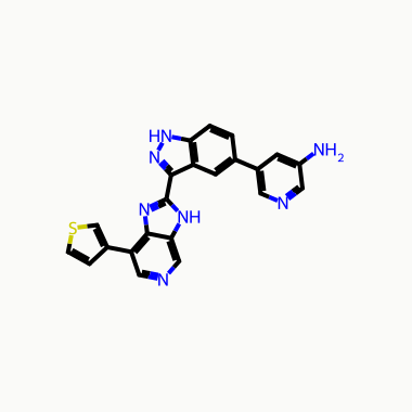 Nc1cncc(-c2ccc3[nH]nc(-c4nc5c(-c6ccsc6)cncc5[nH]4)c3c2)c1